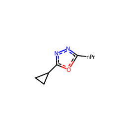 CCCc1nnc(C2CC2)o1